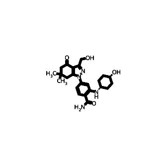 CC1(C)CC(=O)c2c(CO)nn(-c3ccc(C(N)=O)c(N[C@H]4CC[C@H](O)CC4)c3)c2C1